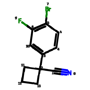 N#CC1(c2ccc(Br)c(F)c2)CCC1